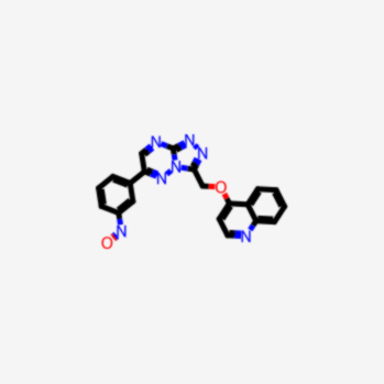 O=Nc1cccc(-c2cnc3nnc(COc4ccnc5ccccc45)n3n2)c1